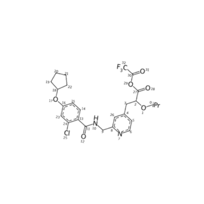 CC(C)OC(Cc1ccnc(CNC(=O)c2ccc(OC3CCCC3)cc2Cl)c1)C(=O)OC(=O)C(F)(F)F